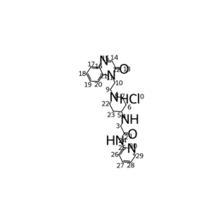 Cl.O=C(CNC1CCN(CCn2c(=O)cnc3ccccc32)CC1)Nc1ccccn1